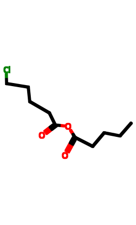 CCCCC(=O)OC(=O)CCCCCl